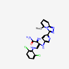 COc1cccc2nnc(-c3ccc(N/C(=C/Nc4c(Cl)cccc4Cl)C(=N)C(N)=O)cn3)n12